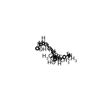 Cc1ncsc1-c1ccc(C(C)(C)NC(=O)[C@@H]2C[C@@H](O)CN2C(=O)[C@@H](c2cc(N3CCC(N4CCc5[nH]c6nnc(-c7ccccc7O)cc6c5C4)CC3)no2)C(C)C)cc1